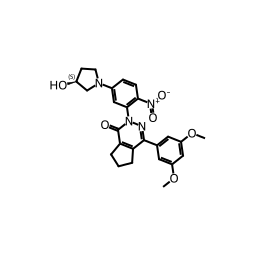 COc1cc(OC)cc(-c2nn(-c3cc(N4CC[C@H](O)C4)ccc3[N+](=O)[O-])c(=O)c3c2CCC3)c1